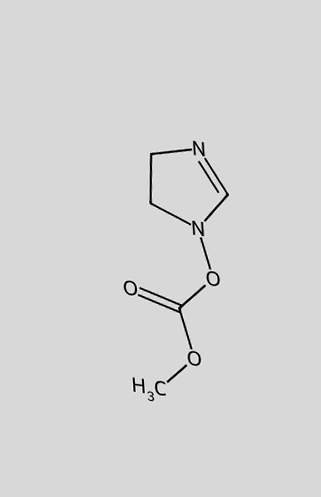 COC(=O)ON1C=NCC1